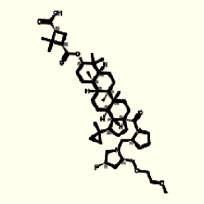 COCCOC[C@@H]1C[C@H](F)CN1C[C@@H]1CCCN1C(=O)[C@]12CC[C@@H](C3(C)CC3)[C@@H]1[C@H]1CC[C@@H]3[C@@]4(C)CC[C@H](OC(=O)[C@H]5C[C@@H](C(=O)O)C5(C)C)C(C)(C)[C@@H]4CC[C@@]3(C)[C@]1(C)CC2